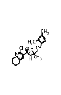 Cc1ccc(COCC(C)(C)NC(=O)c2cc3c(nc2Cl)CCCC3)c(C)c1